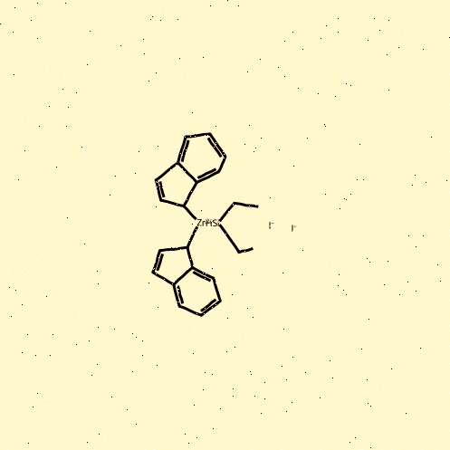 CC[SiH](CC)[Zr+2]([CH]1C=Cc2ccccc21)[CH]1C=Cc2ccccc21.[I-].[I-]